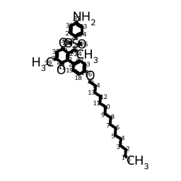 CCCCCCCCCCCCCCCCOc1ccc(C2=C(C(C)S(=O)(=O)c3ccc(N)cc3)C(=O)C=C(C)C2=O)cc1